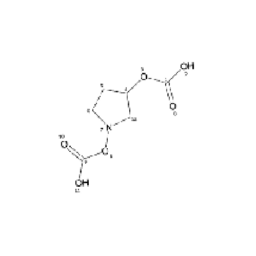 O=C(O)OC1CCN(OC(=O)O)C1